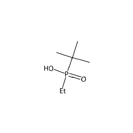 CCP(=O)(O)C(C)(C)C